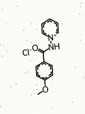 COc1ccc(C(=O)N[n+]2ccccc2)cc1.[Cl-]